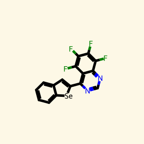 Fc1c(F)c(F)c2c(-c3cc4ccccc4[se]3)ncnc2c1F